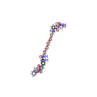 O=C1CCC(N2C(=O)c3cccc(NCCOCCOCCOCCOCCOCCNC(=O)c4cc5cc(N6CCC(O)(C(=O)NCC7CCCCC7)C6=O)ccc5[nH]4)c3C2=O)C(=O)N1